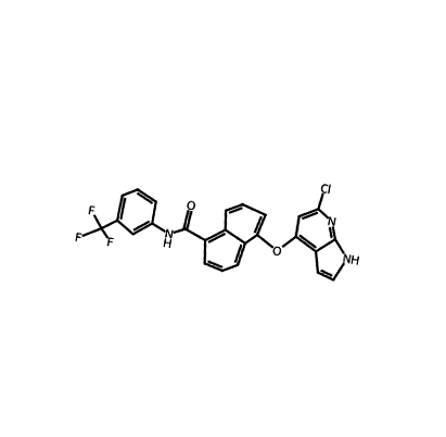 O=C(Nc1cccc(C(F)(F)F)c1)c1cccc2c(Oc3cc(Cl)nc4[nH]ccc34)cccc12